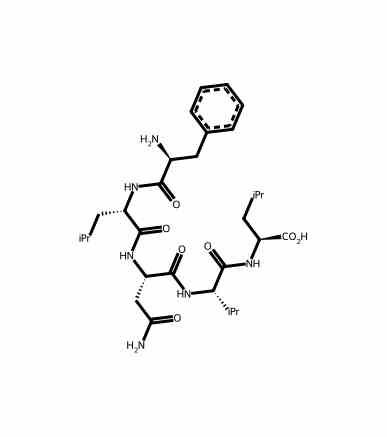 CC(C)C[C@H](NC(=O)[C@@H](NC(=O)[C@H](CC(N)=O)NC(=O)[C@H](CC(C)C)NC(=O)[C@@H](N)Cc1ccccc1)C(C)C)C(=O)O